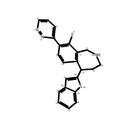 Fc1c(-c2cccnn2)ccc2c1CNCCC2c1cc2ccccc2s1